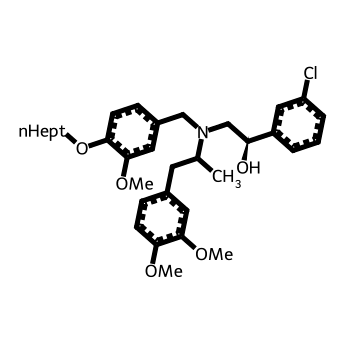 CCCCCCCOc1ccc(CN(C[C@H](O)c2cccc(Cl)c2)C(C)Cc2ccc(OC)c(OC)c2)cc1OC